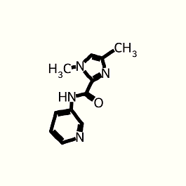 Cc1cn(C)c(C(=O)Nc2cccnc2)n1